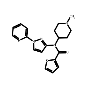 CN1CCC(N(C(=O)c2cccs2)c2ccn(-c3ccccn3)n2)CC1